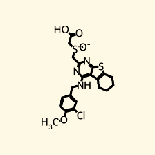 COc1ccc(CNc2nc(C[S+]([O-])CC(=O)O)nc3sc4c(c23)CCCC4)cc1Cl